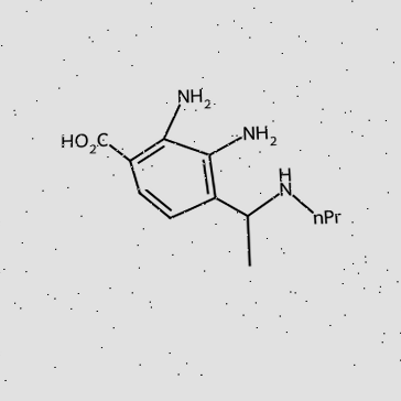 CCCNC(C)c1ccc(C(=O)O)c(N)c1N